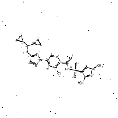 Cc1nn(C)cc1S(=O)(=O)NC(=O)c1ccc(-n2ccc(OC(C3CC3)C3CC3)n2)nc1Cl